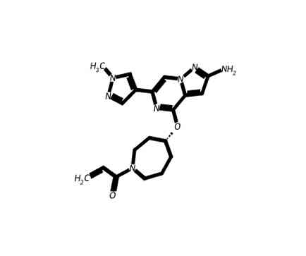 C=CC(=O)N1CCC[C@@H](Oc2nc(-c3cnn(C)c3)cn3nc(N)cc23)CC1